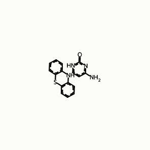 Nc1cc[nH]c(=O)n1.c1ccc2c(c1)Nc1ccccc1S2